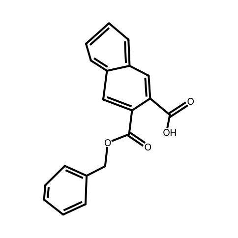 O=C(O)c1cc2ccccc2cc1C(=O)OCc1ccccc1